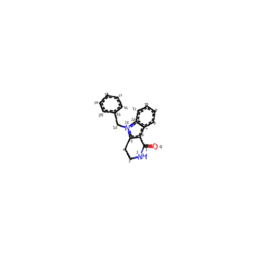 O=C1NCCc2c1c1ccccc1n2Cc1ccccc1